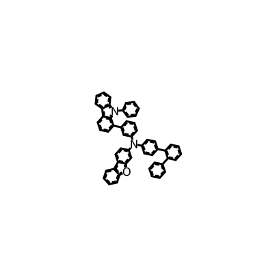 c1ccc(-c2ccccc2-c2ccc(N(c3cccc(-c4cccc5c6ccccc6n(-c6ccccc6)c45)c3)c3ccc4c(c3)oc3ccccc34)cc2)cc1